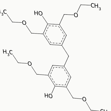 CCOCc1cc(Cc2cc(COCC)c(O)c(COCC)c2)cc(COCC)c1O